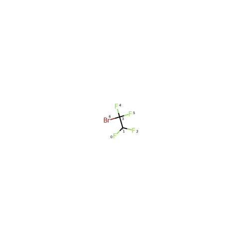 F[C](F)C(F)(F)Br